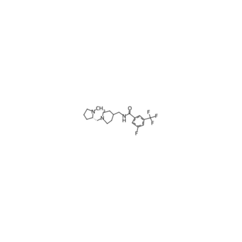 CN1CCC[C@H]1CN1CCC(CNC(=O)c2cc(F)cc(C(F)(F)F)c2)CC1